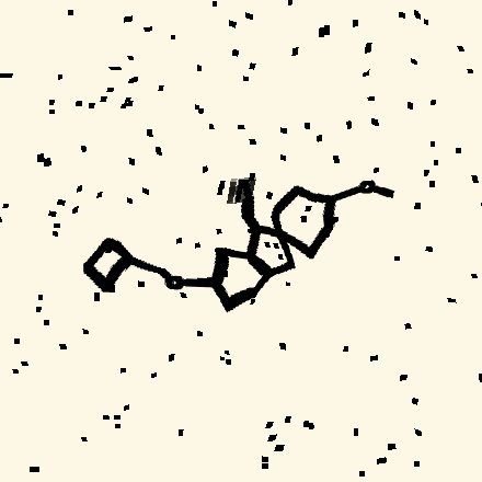 COC1CCC2(CC1)Cc1ccc(OCC3CCC3)cc1C2=N